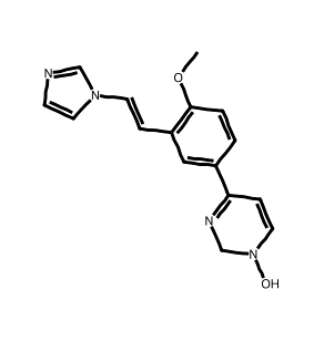 COc1ccc(C2=NCN(O)C=C2)cc1C=Cn1ccnc1